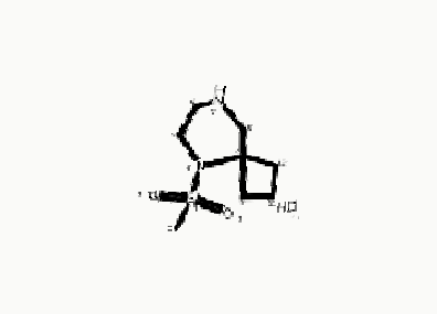 CS(=O)(=O)N1CCNCC12CCC2.Cl